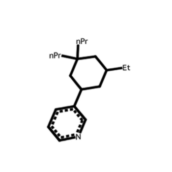 CCCC1(CCC)CC(CC)CC(c2cccnc2)C1